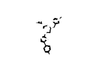 Cn1cnc(C[C@H](NC(=O)[C@H]2O[C@@H]2C(=O)O)C(=O)Nc2nc(-c3ccc(F)cc3)cs2)c1